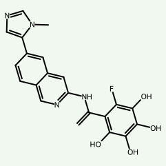 C=C(Nc1cc2cc(-c3cncn3C)ccc2cn1)c1c(O)c(O)c(O)c(O)c1F